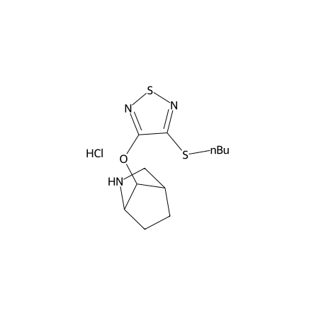 CCCCSc1nsnc1OC1C2CCC1NC2.Cl